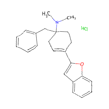 CN(C)C1(Cc2ccccc2)CC=C(c2cc3ccccc3o2)CC1.Cl